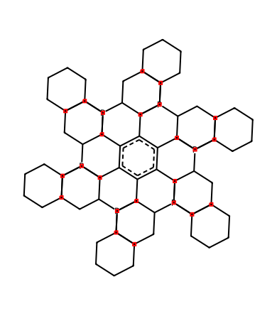 C1CCC(P(Cc2c(CP(C3CCCCC3)C3CCCCC3)c(CP(C3CCCCC3)C3CCCCC3)c(CP(C3CCCCC3)C3CCCCC3)c(CP(C3CCCCC3)C3CCCCC3)c2CP(C2CCCCC2)C2CCCCC2)C2CCCCC2)CC1